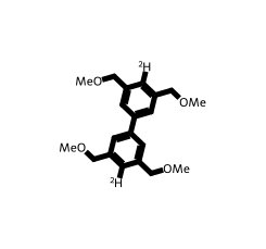 [2H]c1c(COC)cc(-c2cc(COC)c([2H])c(COC)c2)cc1COC